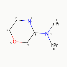 CCCN(CCC)C1COCC[N]1